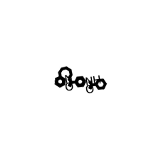 O=C(Nc1ccc(C(=O)N2CCCCCc3ccccc32)cc1)C1CCCCC1